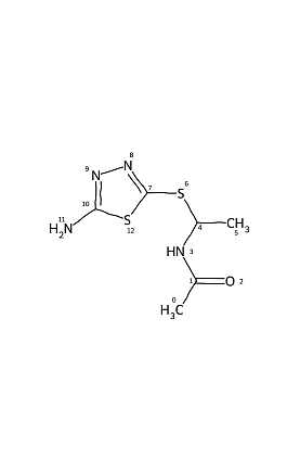 CC(=O)NC(C)Sc1nnc(N)s1